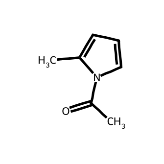 CC(=O)n1cccc1C